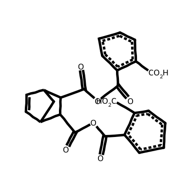 O=C(O)c1ccccc1C(=O)OC(=O)C1C2C=CC(C2)C1C(=O)OC(=O)c1ccccc1C(=O)O